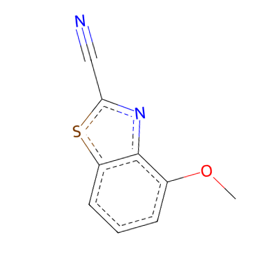 COc1cccc2sc(C#N)nc12